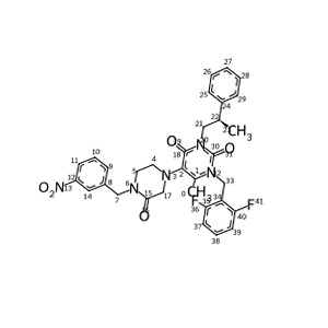 Cc1c(N2CCN(Cc3cccc([N+](=O)[O-])c3)C(=O)C2)c(=O)n(C[C@H](C)c2ccccc2)c(=O)n1Cc1c(F)cccc1F